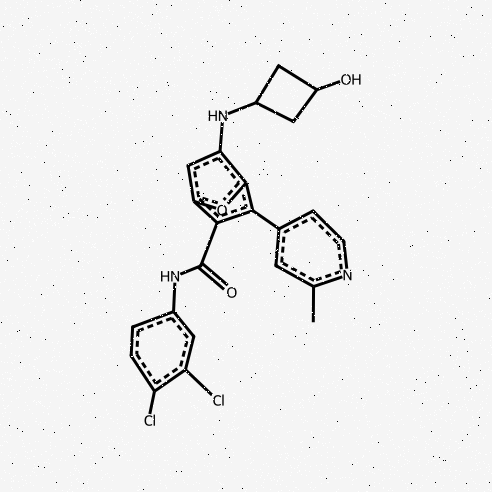 Cc1cc(-c2c(C(=O)Nc3ccc(Cl)c(Cl)c3)c3cc(NC4CC(O)C4)c2o3)ccn1